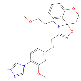 COCCCN1C(/C=C/c2ccc(-n3cnc(C)c3)c(OC)c2)=NOC12CCOc1ccccc12